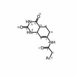 CC(=O)CC(=O)NC1=CC2NC(=O)NC(=O)C2CC1